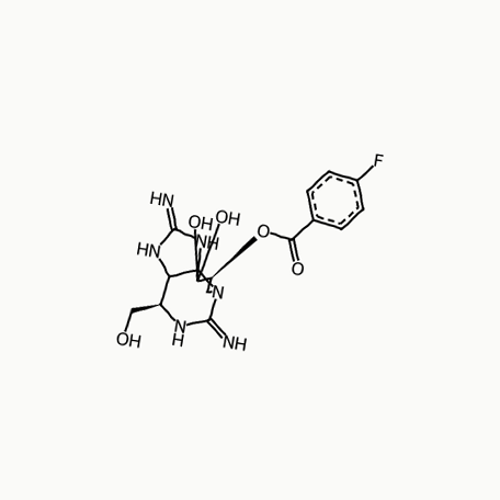 N=C1NC2[C@H](CO)NC(=N)N3C[C@H](OC(=O)c4ccc(F)cc4)C(O)(O)C23N1